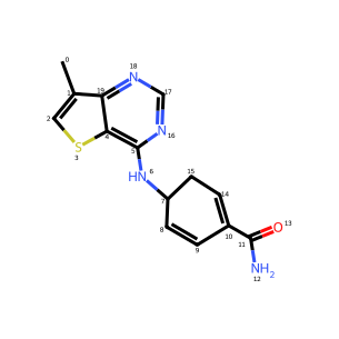 Cc1csc2c(NC3C=CC(C(N)=O)=CC3)ncnc12